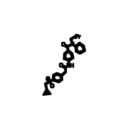 CC(C)CN(C(=O)c1ccc(NC(=O)Cc2ccc(S(=O)(=O)CC3CC3)cc2)cc1)c1ccccc1